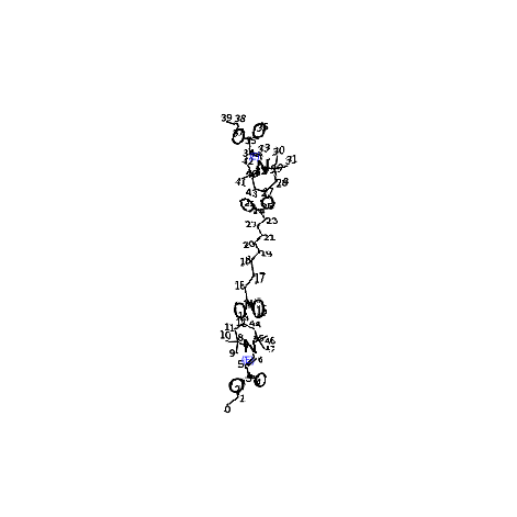 CCOC(=O)/C=C/N1C(C)(C)CC(OC(=O)CCCCCCCCC(=O)OC2CC(C)(C)N(/C=C/C(=O)OCC)C(C)(C)C2)CC1(C)C